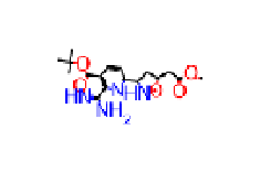 COC(=O)CC1CC(c2ccc(C(=O)OC(C)(C)C)c(C(=N)N)n2)NO1